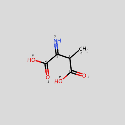 CC(C(=N)C(=O)O)C(=O)O